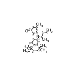 C=C/C=C(\C)N(c1cc(C)cc(Cl)c1)c1ccc2c(c1)C(C)(C)CCC2(C)C